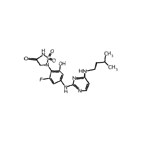 CC(C)CCNc1ccnc(Nc2cc(O)c(N3CC(=O)NS3(=O)=O)c(F)c2)n1